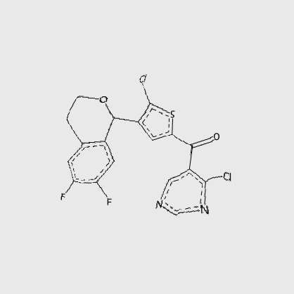 O=C(c1cc(C2OCCc3cc(F)c(F)cc32)c(Cl)s1)c1cncnc1Cl